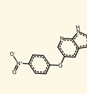 O=[N+]([O-])c1ccc(Oc2cnc3[nH]ccc3c2)cc1